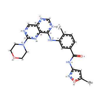 CC(C)(C)c1cc(NC(=O)c2ccc(C(F)(F)F)c(Nc3ncnc4cnc(N5CCOCC5)nc34)c2)no1